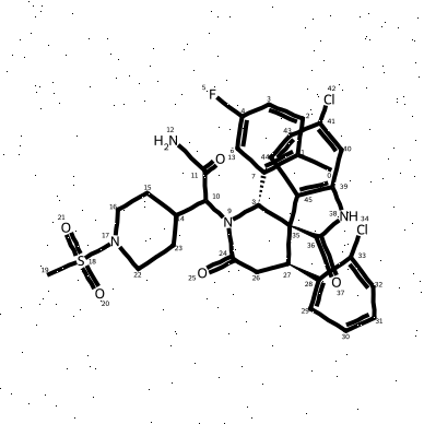 Cc1ccc(F)cc1[C@H]1N(C(C(N)=O)C2CCN(S(C)(=O)=O)CC2)C(=O)C[C@H](c2ccccc2Cl)[C@]12C(=O)Nc1cc(Cl)ccc12